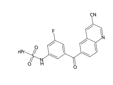 CCCS(=O)(=O)Nc1cc(F)cc(C(=O)c2ccc3ncc(C#N)cc3c2)c1